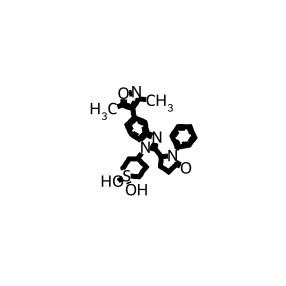 Cc1noc(C)c1-c1ccc2c(c1)nc(C1CCC(=O)N1c1ccccc1)n2C1CCS(O)(O)CC1